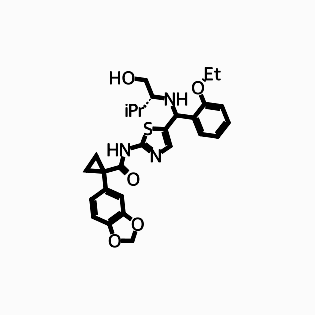 CCOc1ccccc1C(N[C@@H](CO)C(C)C)c1cnc(NC(=O)C2(c3ccc4c(c3)OCO4)CC2)s1